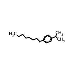 CCCCCCC[CH]c1ccc(C(C)C)cc1